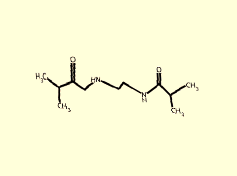 CC(C)C(=O)CNCCNC(=O)C(C)C